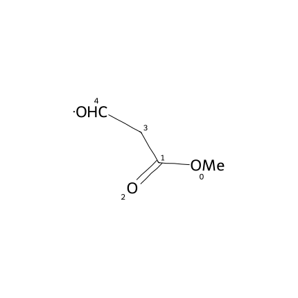 COC(=O)C[C]=O